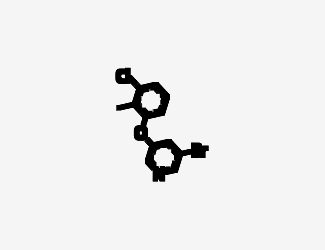 Cc1c(Cl)cccc1Oc1cncc(Br)c1